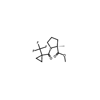 COC(=O)[C@]1(C)CCCN1C(=O)C1(C(F)(F)F)CC1